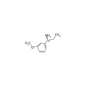 CC[C@H](N)c1cccc(OC)c1